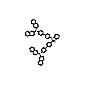 c1ccc2cc(N(c3ccc(-c4ccc(-c5nc6ccccc6n5-c5ccc(-c6ccc(N(c7ccc8ccccc8c7)c7ccc8ccccc8c7)cc6)cc5)cc4)cc3)c3ccc4ccccc4c3)ccc2c1